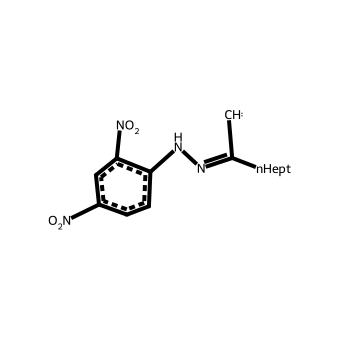 [CH]C(CCCCCCC)=NNc1ccc([N+](=O)[O-])cc1[N+](=O)[O-]